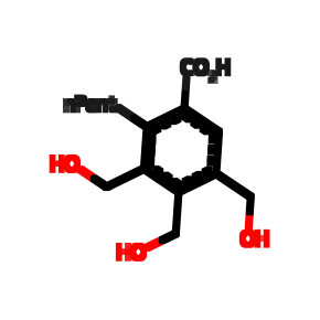 CCCCCc1c(C(=O)O)cc(CO)c(CO)c1CO